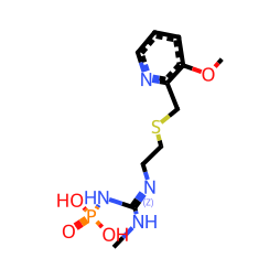 CN/C(=N/CCSCc1ncccc1OC)NP(=O)(O)O